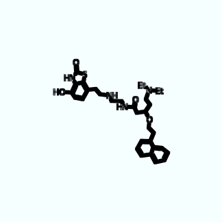 CCN(CC)CCC(CC(=O)NCCNCCc1ccc(O)c2[nH]c(=O)sc12)OCCc1cccc2ccccc12